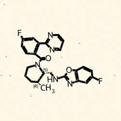 C[C@@H]1CCCN(C(=O)c2ccc(F)cc2-c2ncccn2)[C@@H]1CNc1nc2cc(F)ccc2o1